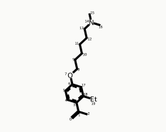 C=C(C)c1ccc(OCCCCCCN(C)C)cc1CC